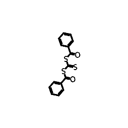 O=C(SC(=S)SC(=O)c1ccccc1)c1ccccc1